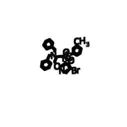 Cc1cccc(S(=O)(=O)N2CC(N(Cc3ccccc3)Cc3ccccc3)COc3ncc(Br)cc32)c1